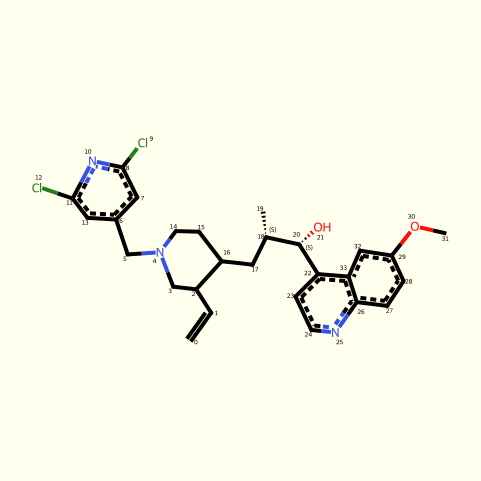 C=CC1CN(Cc2cc(Cl)nc(Cl)c2)CCC1C[C@H](C)[C@H](O)c1ccnc2ccc(OC)cc12